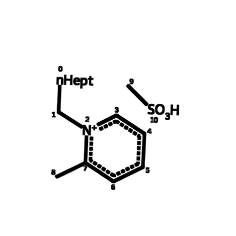 CCCCCCCC[n+]1ccccc1C.CS(=O)(=O)O